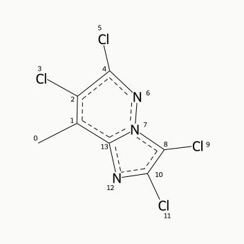 Cc1c(Cl)c(Cl)nn2c(Cl)c(Cl)nc12